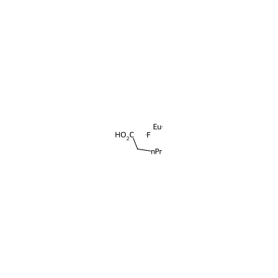 CCCCC(=O)O.[Eu].[F]